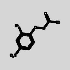 CCC(=O)OOc1ccc([N+](=O)[O-])cc1C(C)C